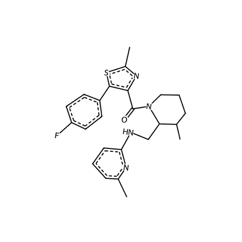 Cc1cccc(NCC2C(C)CCCN2C(=O)c2nc(C)sc2-c2ccc(F)cc2)n1